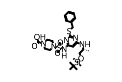 C[C@H](CO[Si](C)(C)C(C)(C)C)Nc1cc(NS(=O)(=O)N2CCN(C(=O)O)CC2)nc(SCc2ccccc2)n1